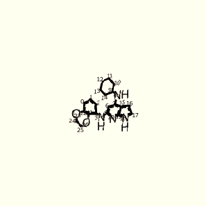 [c]1ccc(Nc2cc(NC3CCCCC3)c3cc[nH]c3n2)c2c1OCCO2